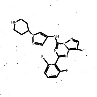 Fc1cccc(F)c1-c1nc(Nc2cnn(C3CCNCC3)c2)n2ncc(Cl)c2n1